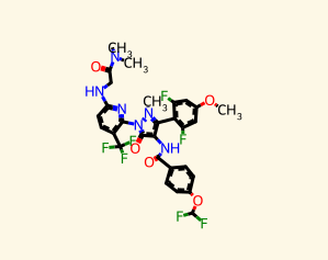 COc1cc(F)c(-c2c(NC(=O)c3ccc(OC(F)F)cc3)c(=O)n(-c3nc(NCC(=O)N(C)C)ccc3C(F)(F)F)n2C)c(F)c1